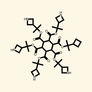 CC(C)(OC(=O)C1C(C(=O)OC(C)(C)C2CNC2)C(C(=O)OC(C)(C)C2CNC2)C(C(=O)OC(C)(C)C2CNC2)C(C(=O)OC(C)(C)C2CNC2)C1C(=O)OC(C)(C)C1CNC1)C1CCC1